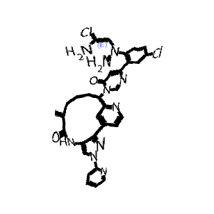 CC1CCCC(n2cnc(-c3cc(Cl)ccc3N(N)/C=C(\N)Cl)cc2=O)c2cc(ccn2)-c2nn(-c3ccccn3)cc2NC1=O